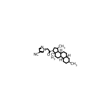 C[C@H]1CC[C@@H]2C3CC[C@@]4(C)C([C@@H]3CC[C@@H]2C1)[C@H](C)C[C@@H]4C(=O)Cn1cc(C#N)cn1